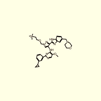 COc1cnc(-c2cccc(C3CC3)c2)nc1Nc1cn(COCC[Si](C)(C)C)nc1-c1nc2cc(CN3CCOCC3)ccc2[nH]1